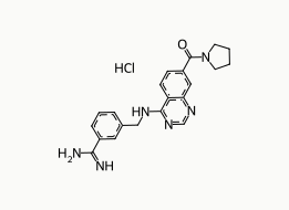 Cl.N=C(N)c1cccc(CNc2ncnc3cc(C(=O)N4CCCC4)ccc23)c1